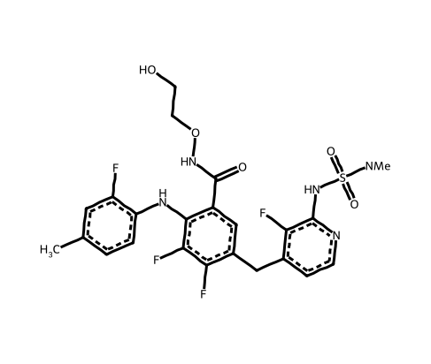 CNS(=O)(=O)Nc1nccc(Cc2cc(C(=O)NOCCO)c(Nc3ccc(C)cc3F)c(F)c2F)c1F